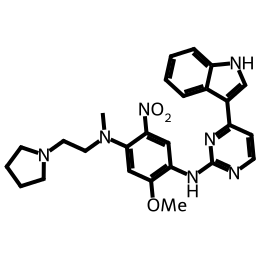 COc1cc(N(C)CCN2CCCC2)c([N+](=O)[O-])cc1Nc1nccc(-c2c[nH]c3ccccc23)n1